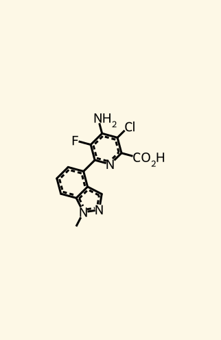 Cn1ncc2c(-c3nc(C(=O)O)c(Cl)c(N)c3F)cccc21